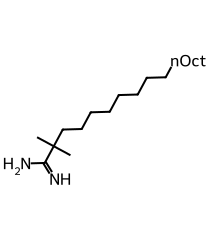 CCCCCCCCCCCCCCCCC(C)(C)C(=N)N